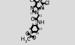 CS(=O)(=O)c1ccc(NC(=O)Cn2cnc3c(Cl)nc(Cl)nc32)cc1